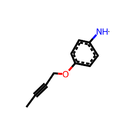 CC#CCOc1ccc([NH])cc1